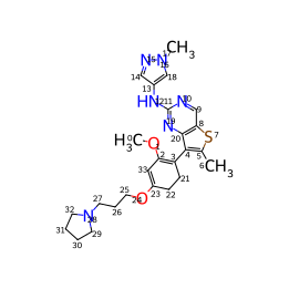 COC1=C(c2c(C)sc3cnc(Nc4cnn(C)c4)nc23)CCC(OCCCN2CCCC2)=C1